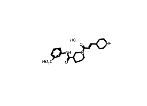 Cl.O=C(O)c1cccc(NC(=O)C2CCCN(C(=O)C=CC3CCNCC3)C2)c1